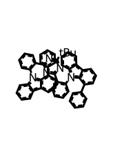 CC(C)(C)c1nc(-c2ccccc2-n2c3ccccc3c3cccc(-c4ccccc4)c32)nc(-c2ccccc2-n2c3ccccc3c3cccc(-c4ccccc4)c32)n1